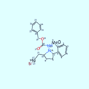 COc1ccccc1C1CCC([CH2][Hg][Br])N1NC(=O)OCc1ccccc1